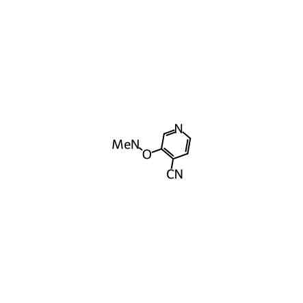 CNOc1cnccc1C#N